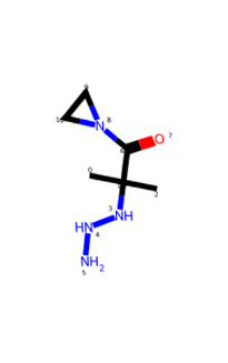 CC(C)(NNN)C(=O)N1CC1